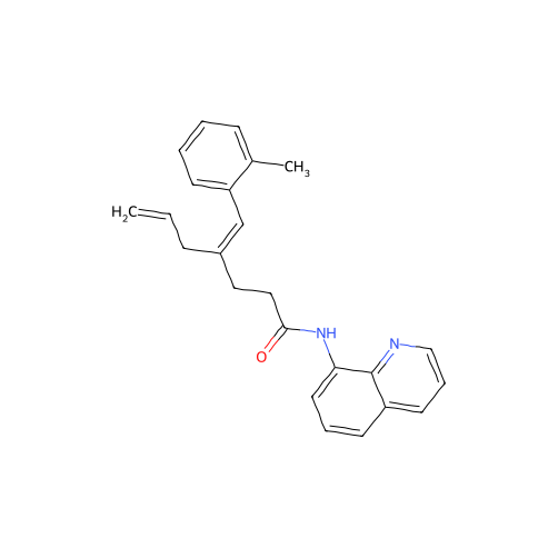 C=CCC(=Cc1ccccc1C)CCC(=O)Nc1cccc2cccnc12